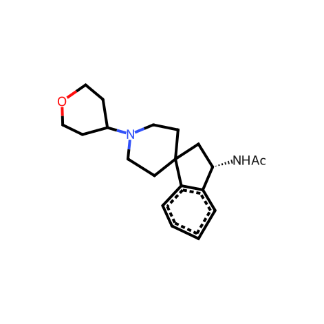 CC(=O)N[C@H]1CC2(CCN(C3CCOCC3)CC2)c2ccccc21